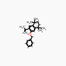 C=C(C)c1cc2c(cc1OCc1ccccc1)C(C)(C)CCC2(C)C